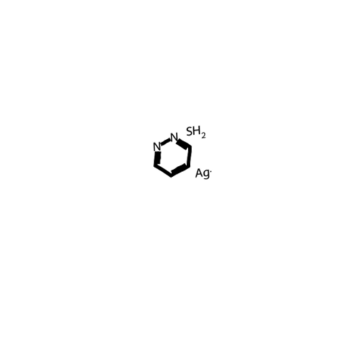 S.[Ag].c1ccnnc1